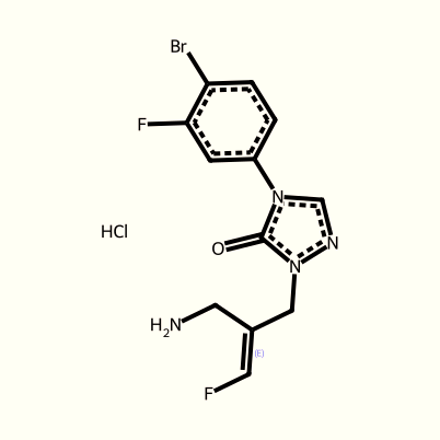 Cl.NC/C(=C\F)Cn1ncn(-c2ccc(Br)c(F)c2)c1=O